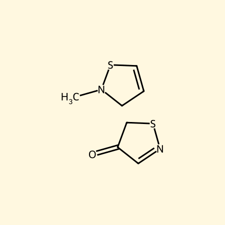 CN1CC=CS1.O=C1C=NSC1